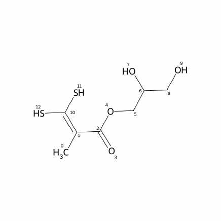 CC(C(=O)OCC(O)CO)=C(S)S